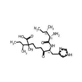 CCC(C)C(O)(CCCC(=O)[C@H](Cc1c[nH]cn1)NC(=O)[C@@H](N)[C@@H](C)CC)C(=O)O